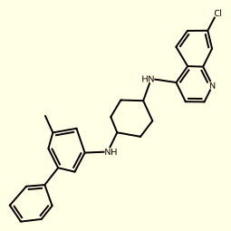 Cc1cc(NC2CCC(Nc3ccnc4cc(Cl)ccc34)CC2)cc(-c2ccccc2)c1